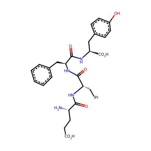 CC(C)C[C@H](NC(=O)[C@@H](N)CCC(=O)O)C(=O)N[C@@H](Cc1ccccc1)C(=O)N[C@@H](Cc1ccc(O)cc1)C(=O)O